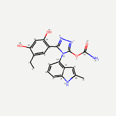 CCc1cc(-c2nnc(OC(N)=O)n2-c2cccc3[nH]c(C)cc23)c(O)cc1O